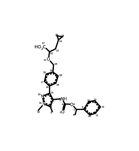 Cc1c(NC(=O)OC(C)c2ccccc2)c(-c2ccc(COC(CC3CC3)C(=O)O)cc2)nn1C